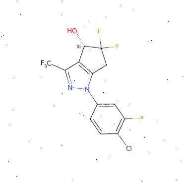 O[C@H]1c2c(C(F)(F)F)nn(-c3ccc(Cl)c(F)c3)c2CC1(F)F